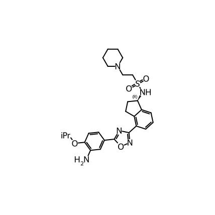 CC(C)Oc1ccc(-c2nc(-c3cccc4c3CC[C@H]4NS(=O)(=O)CCN3CCCCC3)no2)cc1N